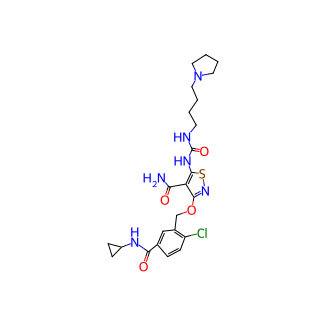 NC(=O)c1c(OCc2cc(C(=O)NC3CC3)ccc2Cl)nsc1NC(=O)NCCCCN1CCCC1